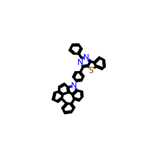 c1ccc(-c2nc(-c3ccc(-n4c5cccc6c5c5c7c(cccc7ccc54)-c4ccccc4-6)cc3)c3sc4ccccc4c3n2)cc1